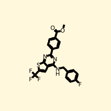 COC(=O)c1ccc(-c2nc(NCc3ccc(F)cc3)c3cc(C(F)(F)F)sc3n2)cc1